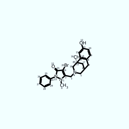 Cn1c(CN2CC3Cc4ccc(O)cc4[C@@](C)(C3)C2)c(Br)c(=O)n1-c1ccccc1